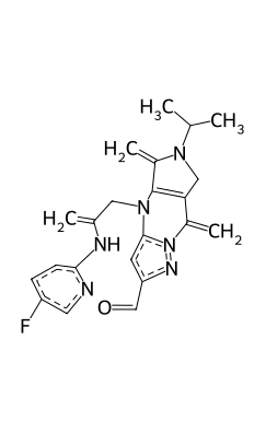 C=C(CN1C2=C(CN(C(C)C)C2=C)C(=C)n2nc(C=O)cc21)Nc1ccc(F)cn1